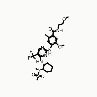 COCCNC(=O)c1cc(OC)c(Nc2ncc(C(F)(F)F)c(N[C@@H]3CCCC[C@H]3N(C)S(C)(=O)=O)n2)cc1C